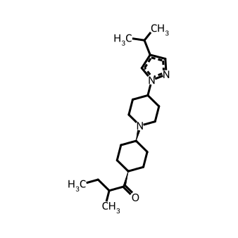 CCC(C)C(=O)[C@H]1CC[C@@H](N2CCC(n3cc(C(C)C)cn3)CC2)CC1